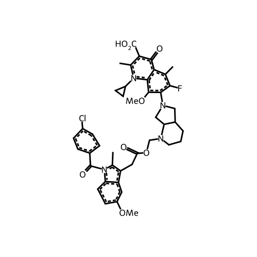 COc1ccc2c(c1)c(CC(=O)OCN1CCCC3CN(c4c(F)c(C)c5c(=O)c(C(=O)O)c(C)n(C6CC6)c5c4OC)CC31)c(C)n2C(=O)c1ccc(Cl)cc1